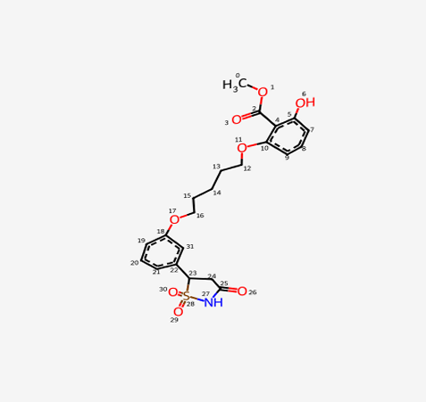 COC(=O)c1c(O)cccc1OCCCCCOc1cccc(C2CC(=O)NS2(=O)=O)c1